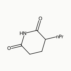 CCCC1CCC(=O)NC1=O